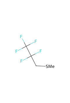 CSCC(F)(F)C(F)(F)F